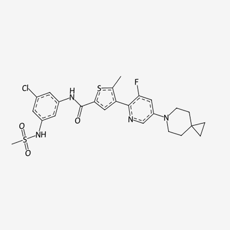 Cc1sc(C(=O)Nc2cc(Cl)cc(NS(C)(=O)=O)c2)cc1-c1ncc(N2CCC3(CC2)CC3)cc1F